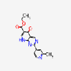 CCOC(=O)c1c[nH]c2nc(-c3ccnc(C)c3)ncc2c1=O